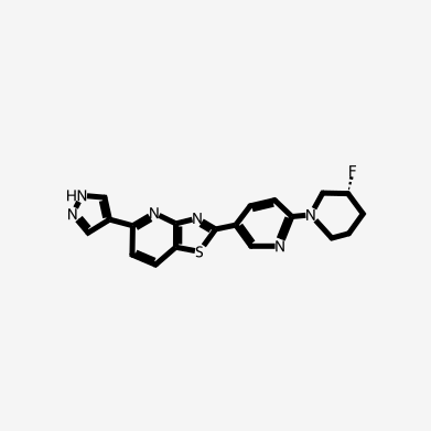 F[C@@H]1CCCN(c2ccc(-c3nc4nc(-c5cn[nH]c5)ccc4s3)cn2)C1